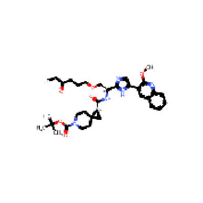 CCC(=O)CCCOC[C@H](NC(=O)[C@H]1CC12CCN(C(=O)OC(C)(C)C)CC2)c1ncc(-c2cc3ccccc3nc2OC)[nH]1